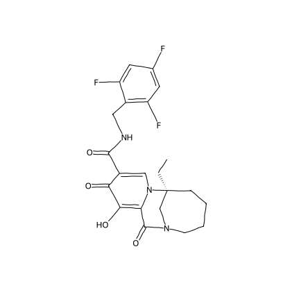 CC[C@]12CCCCN(C1)C(=O)c1c(O)c(=O)c(C(=O)NCc3c(F)cc(F)cc3F)cn12